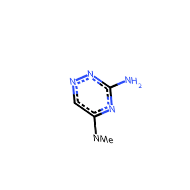 CNc1cnnc(N)n1